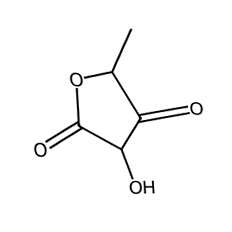 CC1OC(=O)C(O)C1=O